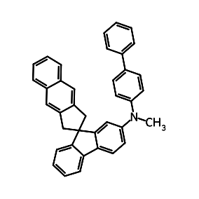 CN(c1ccc(-c2ccccc2)cc1)c1ccc2c(c1)C1(Cc3cc4ccccc4cc3C1)c1ccccc1-2